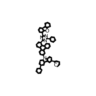 c1ccc(-c2ccc3c(c2)c2cc(-c4ccccc4)ccc2n3-c2ccc3c(c2)c2ccccc2c2c(-c4nc(-c5ccccc5)nc(-c5cccc6c5oc5ccccc56)n4)cccc32)cc1